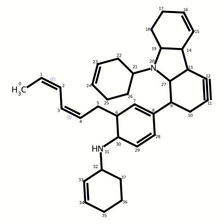 C/C=C\C=C/CC1C=C(C2CC#CC3C4C=CCCC4N(C4CC=CCC4)C23)C=CC1NC1C=CCCC1